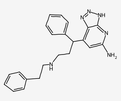 Nc1cc(C(CCNCCc2ccccc2)c2ccccc2)c2nn[nH]c2n1